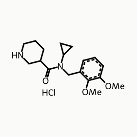 COc1cccc(CN(C(=O)C2CCCNC2)C2CC2)c1OC.Cl